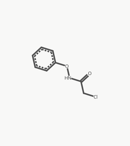 O=C(CCl)NOc1ccccc1